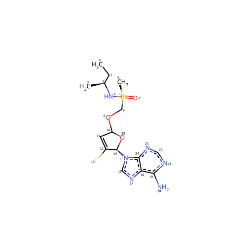 CC[C@H](C)N[P@](C)(=O)COC1C=C(F)[C@H](n2cnc3c(N)ncnc32)O1